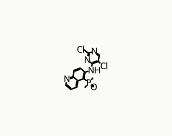 CP(C)(=O)c1c(Nc2nc(Cl)ncc2Cl)ccc2ncccc12